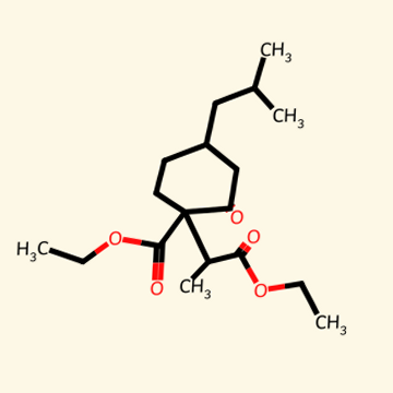 CCOC(=O)C(C)C1(C(=O)OCC)CCC(CC(C)C)CC1=O